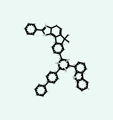 CC1(C)C2=CCC3N=C(c4ccccc4)SC3=C2c2ccc(-c3nc(-c4ccc(-c5ccccc5)cc4)nc(-c4cccc5c4oc4ccccc45)n3)cc21